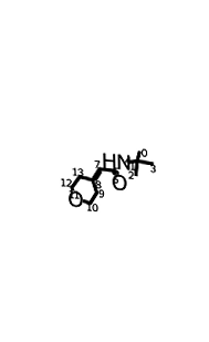 CC(C)(C)NC(=O)C=C1CCOCC1